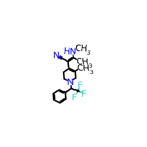 CN/C(C)=C(\C#N)C1=C(C)CN(C(c2ccccc2)C(F)(F)F)CC1